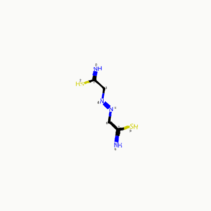 N=C(S)CN=NCC(=N)S